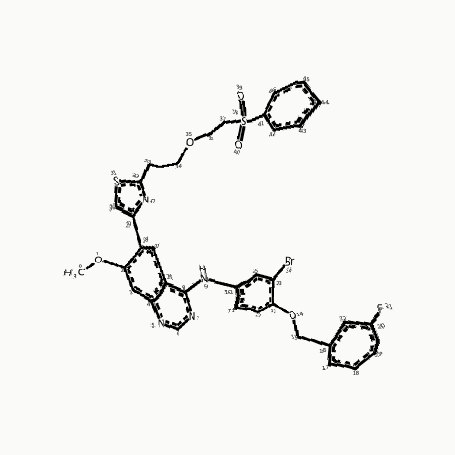 COc1cc2ncnc(Nc3ccc(OCc4cccc(F)c4)c(Br)c3)c2cc1-c1csc(CCOCCS(=O)(=O)c2ccccc2)n1